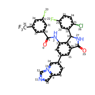 O=C(Nc1cc(-c2ccc3cncn3c2)cc2c1C(c1cc(F)ccc1Cl)NC2=O)c1cc(F)cc(C(F)(F)F)c1